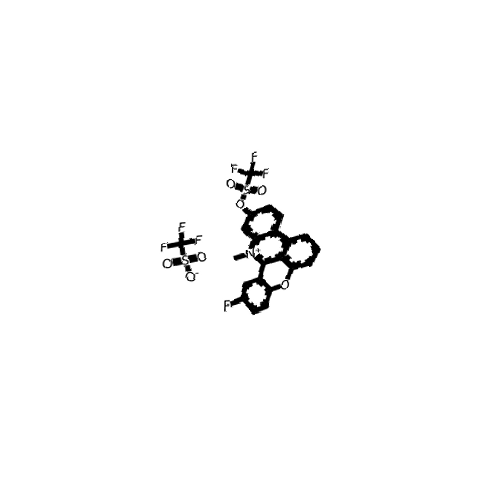 C[n+]1c2c3c(cccc3c3ccc(OS(=O)(=O)C(F)(F)F)cc31)Oc1ccc(F)cc1-2.O=S(=O)([O-])C(F)(F)F